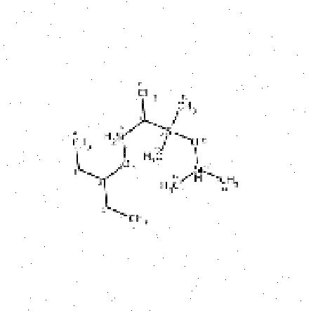 CCC(CC)O[SiH2]C(C)[Si](C)(C)O[SiH](C)C